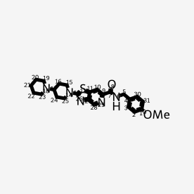 COc1ccc(CNC(=O)c2cc3sc(N4CCC(N5CCCCC5)CC4)nc3cn2)cc1